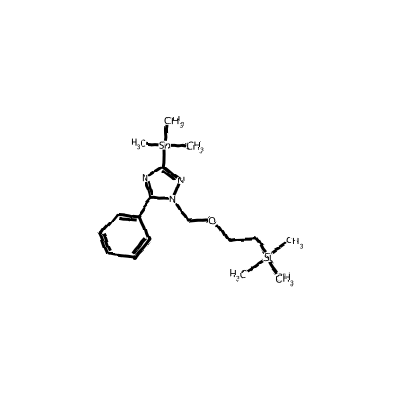 C[Si](C)(C)CCOCn1n[c]([Sn]([CH3])([CH3])[CH3])nc1-c1ccccc1